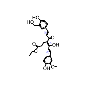 CCOC(=O)CC/C(C(=O)/C=C/c1ccc(O)c(CO)c1)=C(O)\C=C\c1ccc(O)c(OC)c1